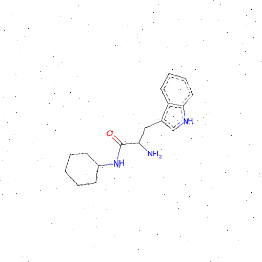 NC(Cc1c[nH]c2ccccc12)C(=O)NC1CCCCC1